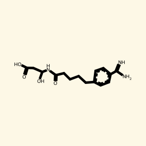 N=C(N)c1ccc(CCCCC(=O)NC(O)CC(=O)O)cc1